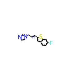 Fc1ccc2cc(/C=C/Cn3ccnc3)sc2c1